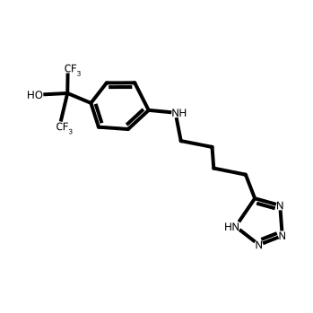 OC(c1ccc(NCCCCc2nnn[nH]2)cc1)(C(F)(F)F)C(F)(F)F